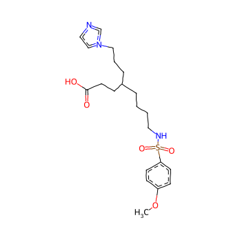 COc1ccc(S(=O)(=O)NCCCCC(CCCn2ccnc2)CCC(=O)O)cc1